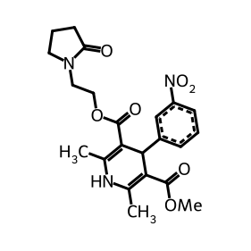 COC(=O)C1=C(C)NC(C)=C(C(=O)OCCN2CCCC2=O)C1c1cccc([N+](=O)[O-])c1